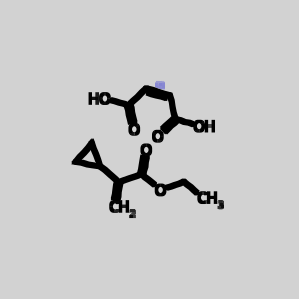 C=C(C(=O)OCC)C1CC1.O=C(O)/C=C\C(=O)O